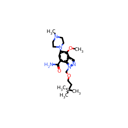 COc1c(N2CCN(C)CC2)cc(C(N)=O)c2c1cnn2COCC[Si](C)(C)C